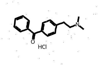 CN(C)CCc1ccc(C(=O)c2ccccc2)cc1.Cl